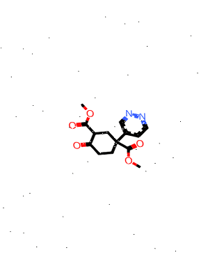 COC(=O)C1CC(C(=O)OC)(c2ccnnc2)CCC1=O